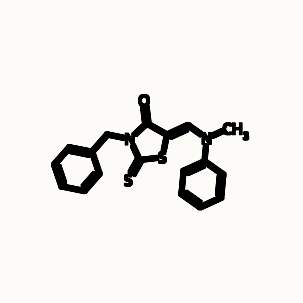 CN(C=C1SC(=S)N(Cc2ccccc2)C1=O)c1ccccc1